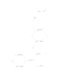 CCC(c1ccncc1)C(C)Cc1cncc(CC(C)(C)CCS)c1